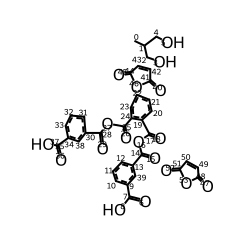 CC(CO)CO.O=C(O)c1cccc(C(=O)OC(=O)c2ccccc2C(=O)OC(=O)c2cccc(C(=O)O)c2)c1.O=C1C=CC(=O)O1.O=C1C=CC(=O)O1